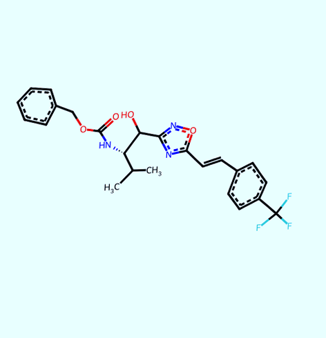 CC(C)[C@H](NC(=O)OCc1ccccc1)C(O)c1noc(/C=C/c2ccc(C(F)(F)F)cc2)n1